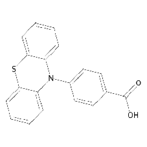 O=C(O)c1ccc(N2c3ccccc3Sc3ccccc32)cc1